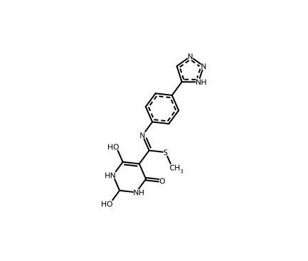 CS/C(=N\c1ccc(-c2cnn[nH]2)cc1)C1=C(O)NC(O)NC1=O